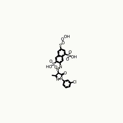 CC1=NN(c2cccc(Cl)c2)C(=O)C1N=Nc1cc2c(S(=O)(=O)O)cc(SOOO)cc2cc1S(=O)(=O)O